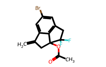 C=C1CC2(OC(C)=O)c3c(cc(Br)cc31)CC2(F)F